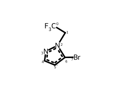 FC(F)(F)Cn1nc[c]c1Br